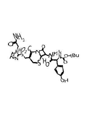 CC(C)(C)OC(=O)NC(C(=O)NC1C(=O)N2C(C(=O)O)=C(CSc3nnnn3CC(N)=O)CS[C@H]12)c1ccc(O)cc1